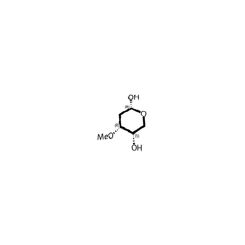 CO[C@@H]1C[C@H](O)OC[C@@H]1O